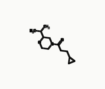 CC(C)C1CN(C(=O)CCC2CC2)CCO1